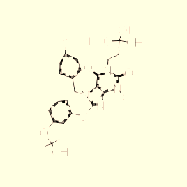 Cn1c(=O)n(CCC(C)(C)O)c(=O)c2c1nc(Oc1cccc(OC(C)(F)F)c1)n2Cc1ccc(Cl)cc1